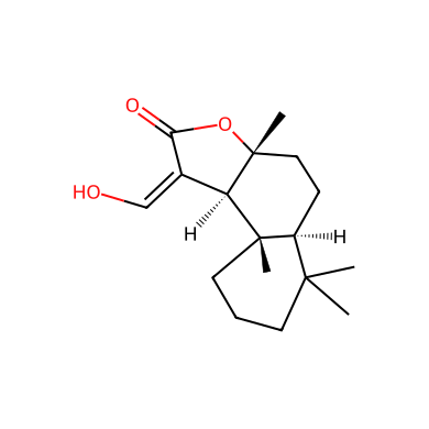 CC1(C)CCC[C@]2(C)[C@H]3C(=CO)C(=O)O[C@]3(C)CC[C@@H]12